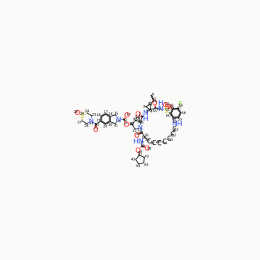 C=C[C@@H]1C[C@@]12NC(=O)[C@@H]1C[C@@H](OC(=O)N3Cc4ccc(C(=O)N5CC[S+]([O-])CC5)cc4C3)CN1C(=O)[C@@H](NC(=O)OC1CCCC1)CCCCCCCNc1ccc(F)cc1S(=O)(=O)NC2=O